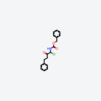 O=C(NC(Cl)C(=O)CCc1ccccc1)OCc1ccccc1